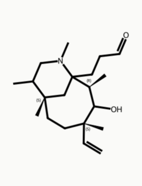 C=C[C@]1(C)CC[C@@]2(C)CC(CCC=O)([C@@H](C)C1O)N(C)CC2C